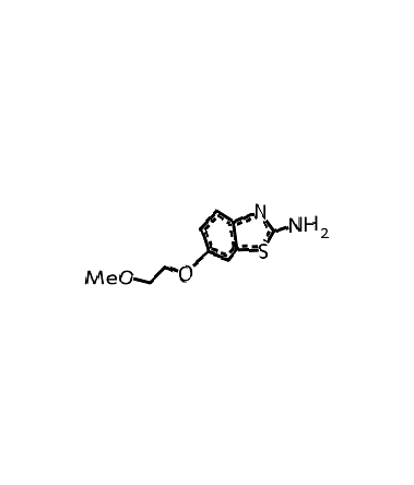 COCCOc1ccc2nc(N)sc2c1